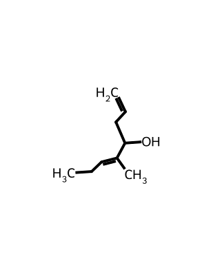 C=CCC(O)C(C)=CCC